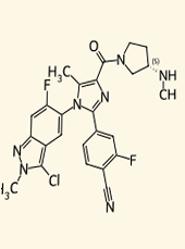 CN[C@H]1CCN(C(=O)c2nc(-c3ccc(C#N)c(F)c3)n(-c3cc4c(Cl)n(C)nc4cc3F)c2C)C1